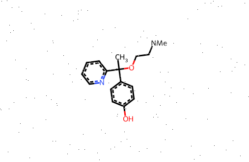 CNCCOC(C)(c1ccc(O)cc1)c1ccccn1